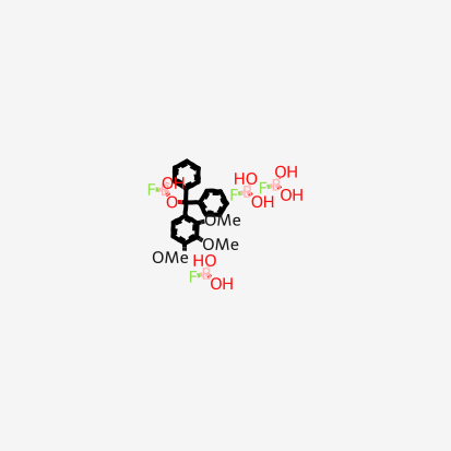 COc1ccc(C(OB(O)F)(c2ccccc2)c2ccccc2)c(OC)c1OC.OB(O)F.OB(O)F.OB(O)F